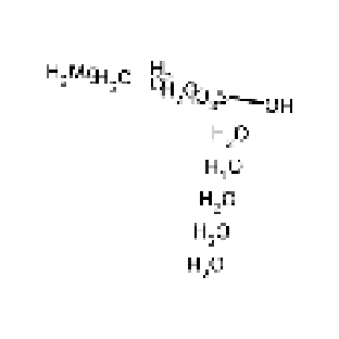 O.O.O.O.O.O.O.O.O=S(=O)(O)O.[MgH2]